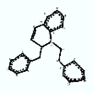 C1=CC(Cc2ccccc2)N(CCc2ccccc2)c2ccccc21